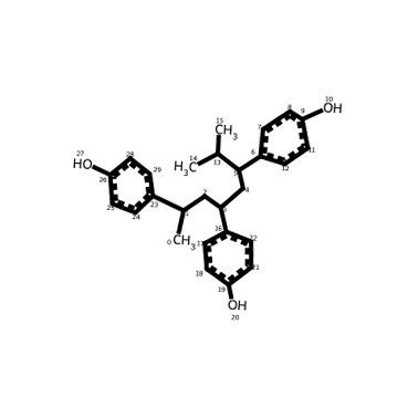 CC(CC(CC(c1ccc(O)cc1)C(C)C)c1ccc(O)cc1)c1ccc(O)cc1